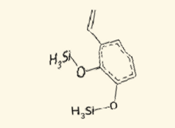 C=Cc1cccc(O[SiH3])c1O[SiH3]